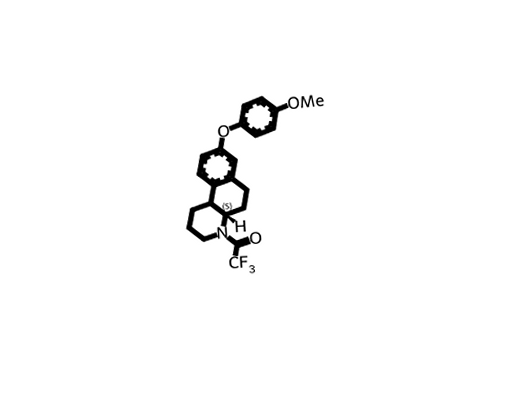 COc1ccc(Oc2ccc3c(c2)CC[C@H]2C3CCCN2C(=O)C(F)(F)F)cc1